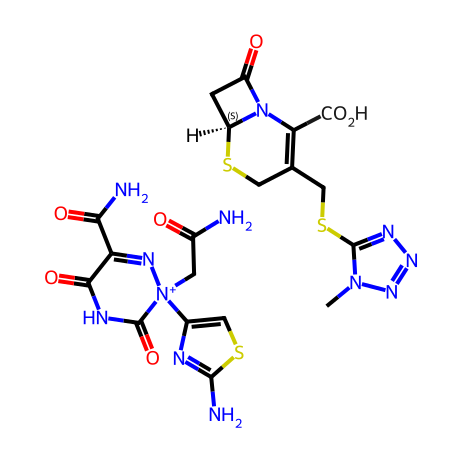 Cn1nnnc1SCC1=C(C(=O)O)N2C(=O)C[C@@H]2SC1.NC(=O)C[N+]1(c2csc(N)n2)N=C(C(N)=O)C(=O)NC1=O